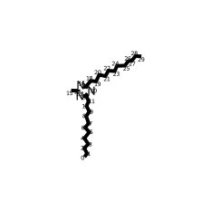 CCCCCCCCCCCCc1nc(C)nc(CCCCCCCCCCCC)n1